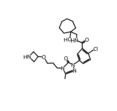 Cc1nn(-c2ccc(Cl)c(C(=O)NCC3(O)CCCCCC3)c2)c(=O)n1CCCOC1CNC1